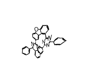 c1ccc(-c2nc(-c3ccccc3)nc(-c3cccc4oc5ccc(-c6nc(-c7ccccc7)c7ccccc7n6)cc5c34)n2)cc1